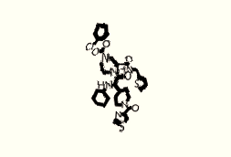 O=C(NCc1cccs1)[C@@H]1CN(C(=O)Oc2ccccc2Cl)CCN1C(=O)[C@H](NC1CCCCC1)C1CCN(C(=O)c2cscn2)CC1